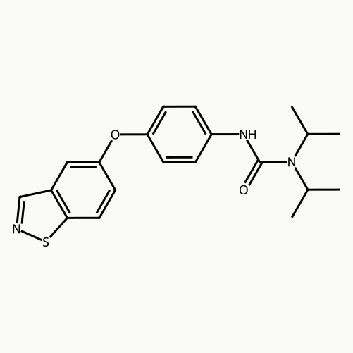 CC(C)N(C(=O)Nc1ccc(Oc2ccc3sncc3c2)cc1)C(C)C